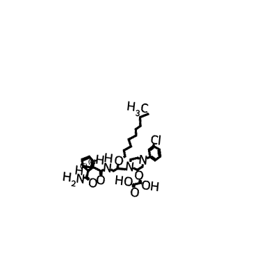 CCCCCCCCCCOC(CNC(=O)C1C(C(N)=O)[C@@H]2C=C[C@H]1C2)CN1CCN(c2cccc(Cl)c2)CC1.O=C(O)C(=O)O